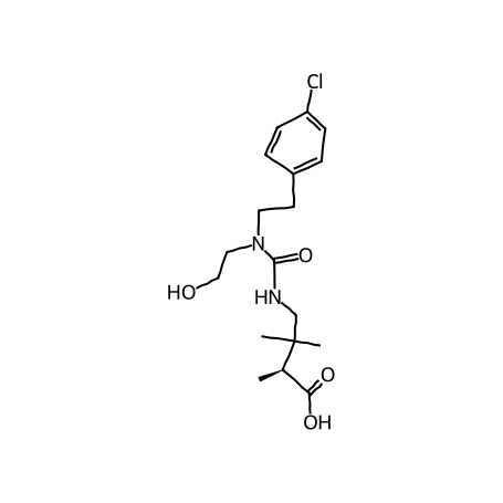 C[C@H](C(=O)O)C(C)(C)CNC(=O)N(CCO)CCc1ccc(Cl)cc1